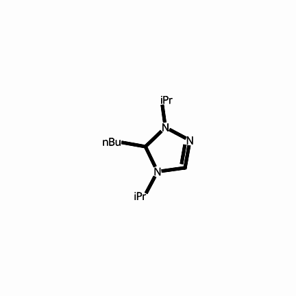 CCCCC1N(C(C)C)C=NN1C(C)C